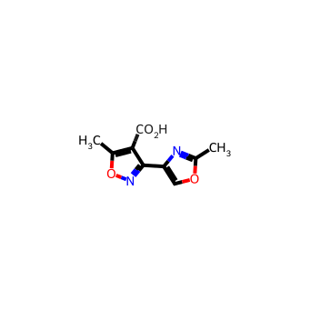 Cc1nc(-c2noc(C)c2C(=O)O)co1